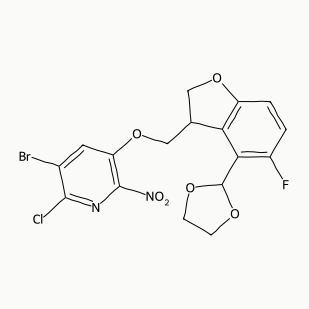 O=[N+]([O-])c1nc(Cl)c(Br)cc1OCC1COc2ccc(F)c(C3OCCO3)c21